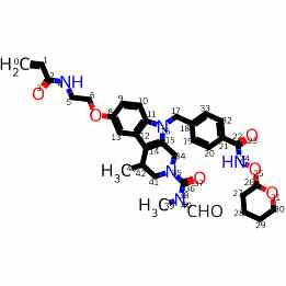 C=CC(=O)NCCOc1ccc2c(c1)c1c(n2Cc2ccc(C(=O)NOC3CCCCO3)cc2)CN(C(=O)N(C)C=O)CC1C